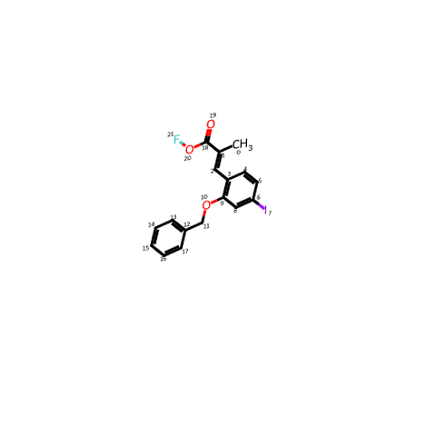 C/C(=C\c1ccc(I)cc1OCc1ccccc1)C(=O)OF